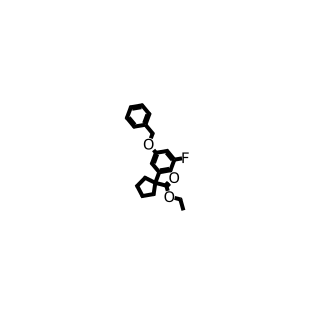 CCOC(=O)C1(c2cc(F)cc(OCc3ccccc3)c2)CCCC1